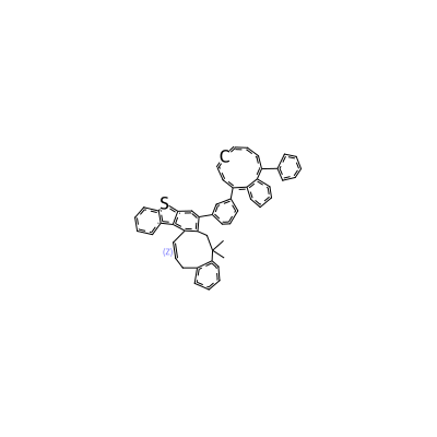 CC1(C)Cc2c(-c3cccc(-c4ccccccc(-c5ccccc5)c5ccccc45)c3)cc3sc4ccccc4c3c2/C=C\Cc2ccccc21